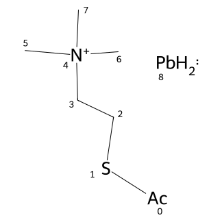 CC(=O)SCC[N+](C)(C)C.[PbH2]